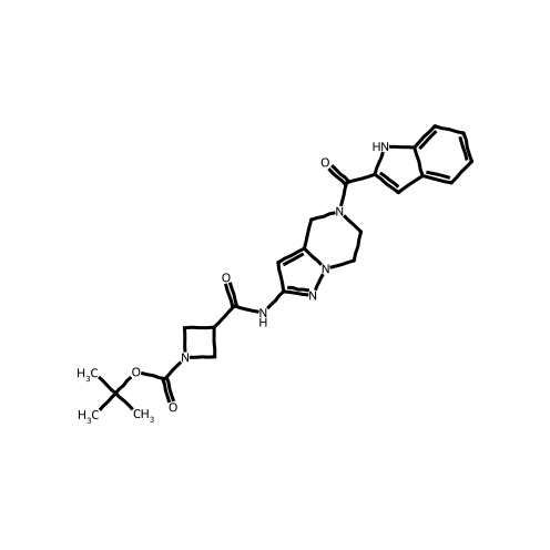 CC(C)(C)OC(=O)N1CC(C(=O)Nc2cc3n(n2)CCN(C(=O)c2cc4ccccc4[nH]2)C3)C1